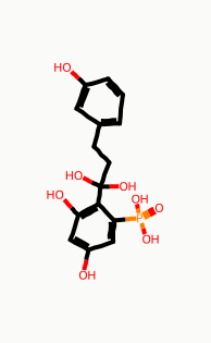 O=P(O)(O)c1cc(O)cc(O)c1C(O)(O)CCc1cccc(O)c1